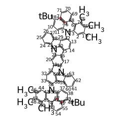 Cc1cc(N(c2ccc(C(C)(C)C)cc2)c2ccc3c4cc5c(cc4n4c6ccccc6c2c34)c2ccc(N(c3ccc(C(C)(C)C)cc3)c3cc(C)c(C)c(C)c3-c3ccccc3)c3c4ccccc4n5c23)c(-c2ccccc2)c(C)c1C